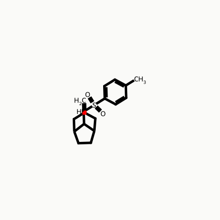 C=C1CC2CCC(C1)C2NS(=O)(=O)c1ccc(C)cc1